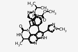 COC(=O)NC1CC(N2C(=O)NC(C)c3cnc4[nH]c(-c5cnn(C)c5)c(-c5ccc6c(cnn6C(C)C)c5)c4c32)C1